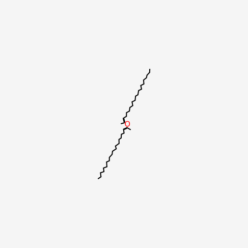 CCCCCCCCCCCCCCCCCCC=C(C)OC(C)=CCCCCCCCCCCCCCCCCCC